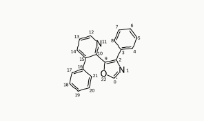 [c]1nc(-c2ccccc2)c(-c2ncccc2-c2ccccc2)o1